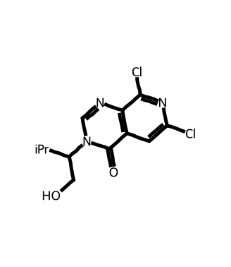 CC(C)C(CO)n1cnc2c(Cl)nc(Cl)cc2c1=O